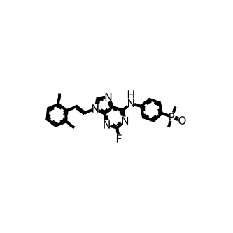 Cc1cccc(C)c1C=Cn1cnc2c(Nc3ccc(P(C)(C)=O)cc3)nc(F)nc21